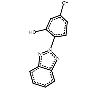 Oc1ccc(-n2nc3ccccc3n2)c(O)c1